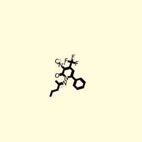 [C-]#[N+]c1c(C(F)(F)F)cc(-c2ccccc2)n(/N=C(\C)CCC)c1=O